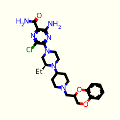 CC[C@H]1CN(c2nc(N)c(C(N)=O)nc2Cl)CCN1C1CCN(CC2COc3ccccc3O2)CC1